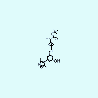 Cc1noc(C)c1-c1cc(O)cc(CNC23CC(NC(=O)OC(C)(C)C)(C2)C3)c1